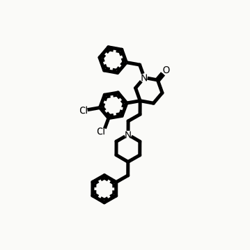 O=C1CCC(CCN2CCC(Cc3ccccc3)CC2)(c2ccc(Cl)c(Cl)c2)CN1Cc1ccccc1